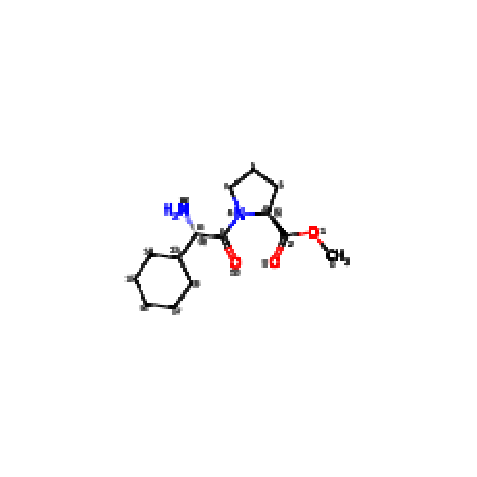 COC(=O)[C@@H]1CCCN1C(=O)[C@@H](N)C1CCCCC1